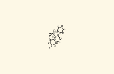 Cc1cc(C)c(C(C(=O)c2ccccc2)[SH](=O)=O)c(C)c1